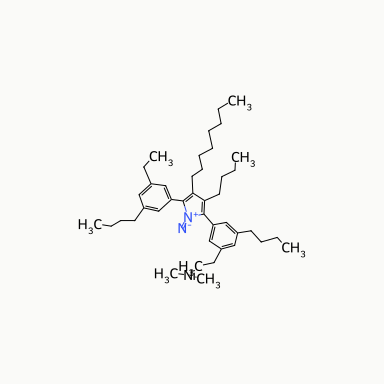 CCCCCCCCC1=C(c2cc(CC)cc(CCCC)c2)[N+](=[N-])C(c2cc(CC)cc(CCCC)c2)=C1CCCC.[CH3][Ni][CH3]